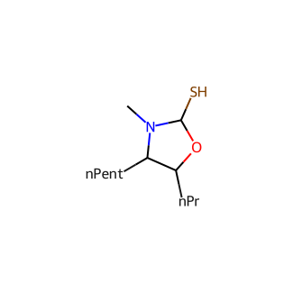 CCCCCC1C(CCC)OC(S)N1C